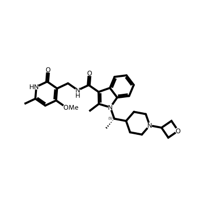 COc1cc(C)[nH]c(=O)c1CNC(=O)c1c(C)n([C@@H](C)C2CCN(C3COC3)CC2)c2ccccc12